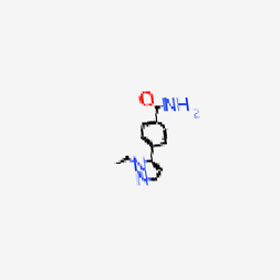 CCn1nccc1-c1ccc(C(N)=O)cc1